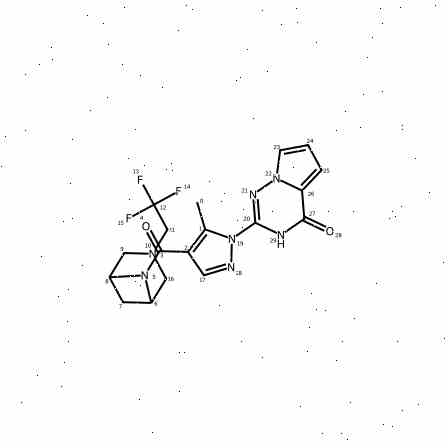 Cc1c(C(=O)N2C3CC2CN(CC(F)(F)F)C3)cnn1-c1nn2cccc2c(=O)[nH]1